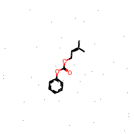 CC(C)=CCOC(=O)Oc1ccccc1